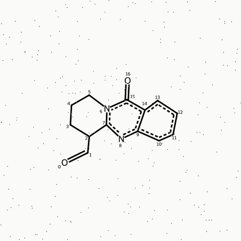 O=CC1CCCn2c1nc1ccccc1c2=O